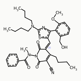 CCCCC1=C(C#N)C(=O)N(N(C)C(=O)c2ccccc2)C(=O)/C1=C\c1sc(N(CCCC)CCCC)nc1-c1c(CO)cccc1OC